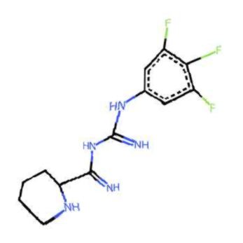 N=C(NC(=N)C1CCCCN1)Nc1cc(F)c(F)c(F)c1